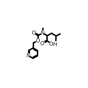 CC(C)CC(C(=O)O)N(C)C(=O)OCc1cccnc1